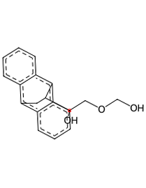 OCOCC(O)C1Cc2c3ccccc3c1c1ccccc21